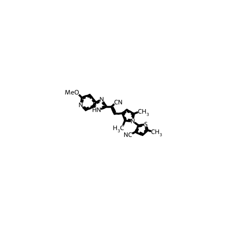 COc1cc2nc(/C(C#N)=C/c3cc(C)n(-c4sc(C)cc4C#N)c3C)[nH]c2cn1